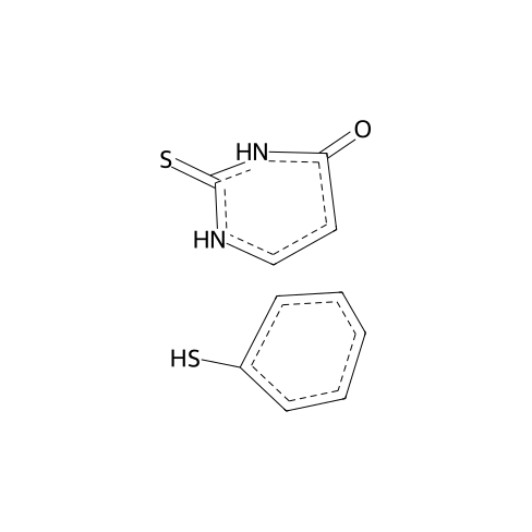 O=c1cc[nH]c(=S)[nH]1.Sc1ccccc1